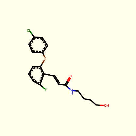 O=C(C=Cc1c(F)cccc1Sc1ccc(Cl)cc1)NCCCCO